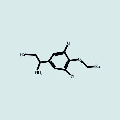 CC(C)(C)COc1c(Cl)cc(C(N)CS)cc1Cl